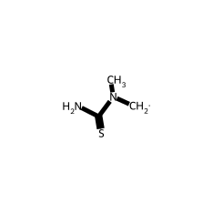 [CH2]N(C)C(N)=S